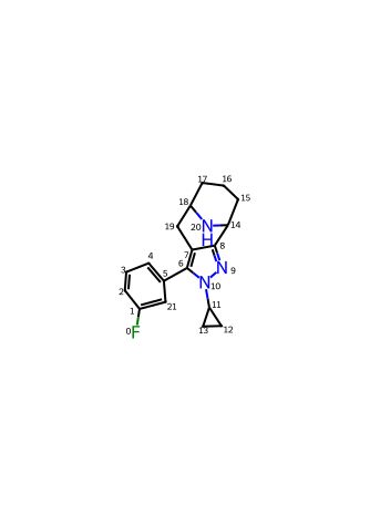 Fc1cccc(-c2c3c(nn2C2CC2)C2CCCC(C3)N2)c1